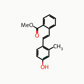 COC(=O)c1ccccc1/C=C/c1ccc(O)cc1C